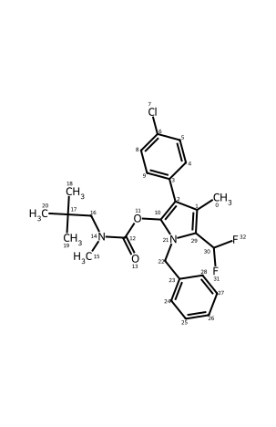 Cc1c(-c2ccc(Cl)cc2)c(OC(=O)N(C)CC(C)(C)C)n(Cc2ccccc2)c1C(F)F